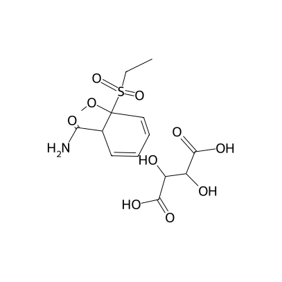 CCS(=O)(=O)C1(OC)C=CC=CC1C(N)=O.O=C(O)C(O)C(O)C(=O)O